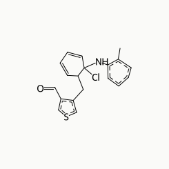 Cc1ccccc1NC1(Cl)C=CC=CC1Cc1cscc1C=O